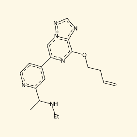 C=CCCOc1nc(-c2ccnc(C(C)NCC)c2)cn2ncnc12